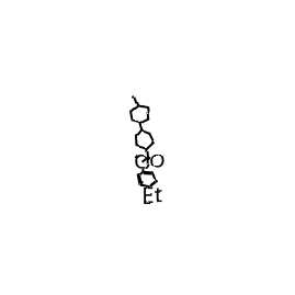 CCc1ccc(OC(=O)C2CCC(C3CCC(C)CC3)CC2)cc1